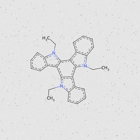 CCn1c2ccccc2c2c1c1c3ccccc3n(CC)c1c1c3ccccc3n(CC)c21